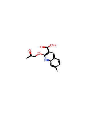 CC(=O)COc1nc2cc(C)ccc2cc1C(=O)O